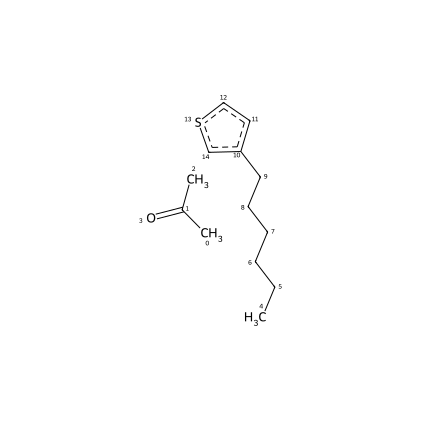 CC(C)=O.CCCCCCc1ccsc1